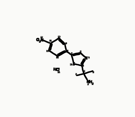 CC(C)(N)c1ncc(-c2ccc([N+](=O)[O-])cc2)s1.Cl